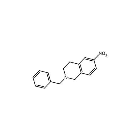 O=[N+]([O-])c1ccc2c(c1)CCN(Cc1ccccc1)C2